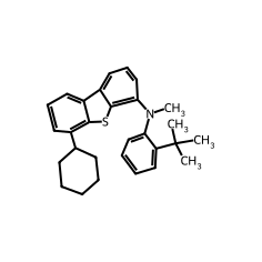 CN(c1ccccc1C(C)(C)C)c1cccc2c1sc1c(C3CCCCC3)cccc12